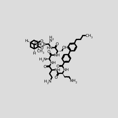 CCCCc1ccc(-c2ccc(C(=O)N[C@@H](CCN)C(=O)NC(CCN)C(=O)N[C@@H](N)C(=O)N[C@@H](CO)C(=O)N[C@@H](N)B3OC4C[C@@H]5C[C@@H](C5(C)C)[C@]4(C)O3)cc2)cc1